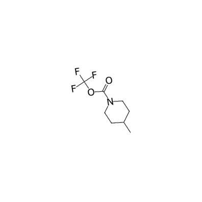 CC1CCN(C(=O)OC(F)(F)F)CC1